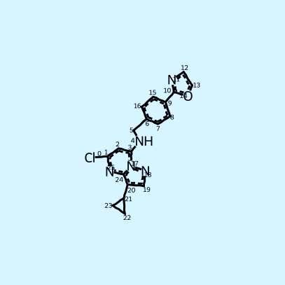 Clc1cc(NCc2ccc(-c3ncco3)cc2)n2ncc(C3CC3)c2n1